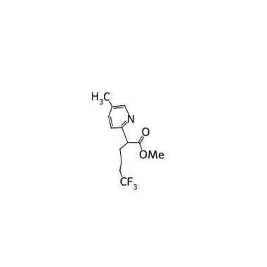 COC(=O)C(CCCC(F)(F)F)c1ccc(C)cn1